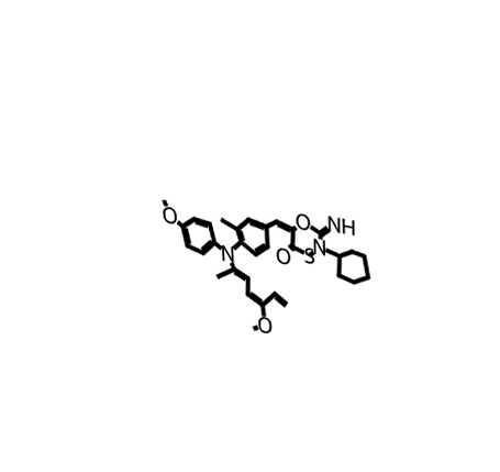 C=C/C(=C\C=C(/C)N(c1ccc(OC)cc1)c1ccc(/C=C2/OC(=N)N(C3CCCCC3)SC2=O)cc1C)OC